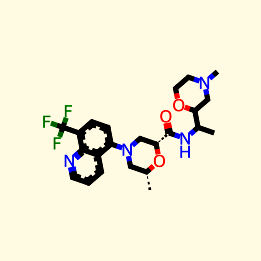 CC(NC(=O)[C@H]1CN(c2ccc(C(F)(F)F)c3ncccc23)C[C@@H](C)O1)C1CN(C)CCO1